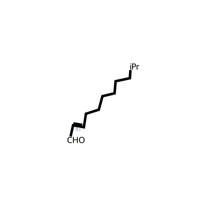 CC(C)CCCCCC/C=C/C=O